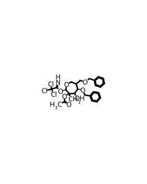 CC(=O)OC1(C)C(O)[C@H](OCc2ccccc2)C(COCc2ccccc2)CO[C@@H]1OC(=N)C(Cl)(Cl)Cl